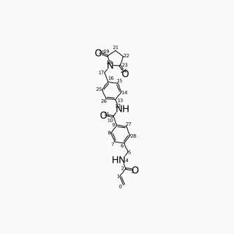 C=CC(=O)NCc1ccc(C(=O)Nc2ccc(CN3C(=O)CCC3=O)cc2)cc1